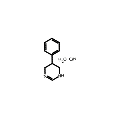 C1=NCC(c2ccccc2)CN1.Cl.O